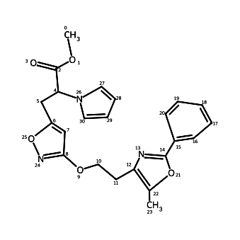 COC(=O)C(Cc1cc(OCCc2nc(-c3ccccc3)oc2C)no1)n1cccc1